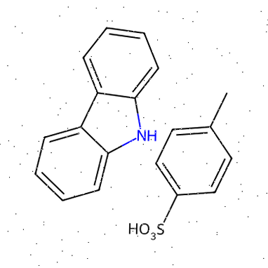 Cc1ccc(S(=O)(=O)O)cc1.c1ccc2c(c1)[nH]c1ccccc12